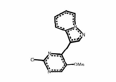 COc1cnc(Cl)nc1-c1cnn2ccccc12